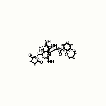 N=C1N[C@H]2[C@H](CN3C(=O)CCC3=O)NC(=N)N3CC(NC(=O)c4cccc5c4OCCCO5)C(O)(O)C23N1